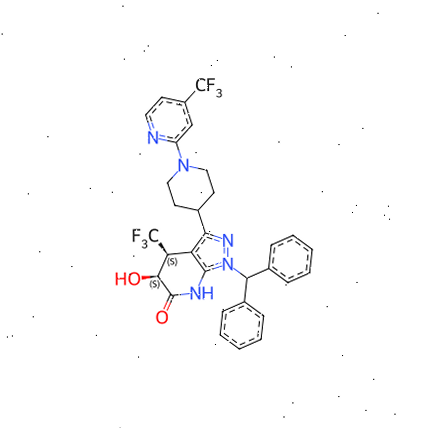 O=C1Nc2c(c(C3CCN(c4cc(C(F)(F)F)ccn4)CC3)nn2C(c2ccccc2)c2ccccc2)[C@H](C(F)(F)F)[C@@H]1O